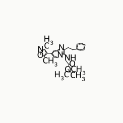 Cc1noc(C)c1-c1ccn2c(NCC(=O)OC(C)(C)C)c(CCc3ccccc3)nc2c1